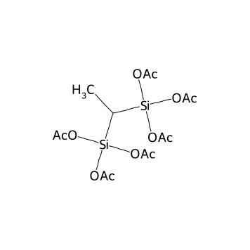 CC(=O)O[Si](OC(C)=O)(OC(C)=O)C(C)[Si](OC(C)=O)(OC(C)=O)OC(C)=O